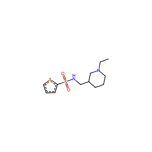 CCN1CCCC(CNS(=O)(=O)c2cccs2)C1